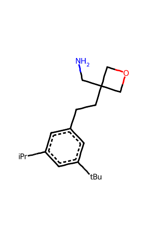 CC(C)c1cc(CCC2(CN)COC2)cc(C(C)(C)C)c1